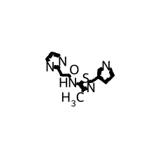 Cc1nc(-c2cccnc2)sc1NC(=O)Cc1ncccn1